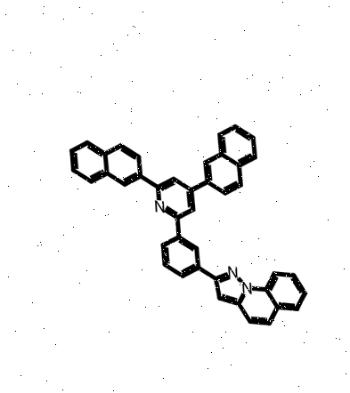 c1cc(-c2cc(-c3ccc4ccccc4c3)cc(-c3ccc4ccccc4c3)n2)cc(-c2cc3ccc4ccccc4n3n2)c1